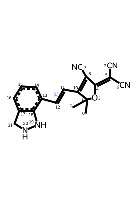 CC1(C)OC(=C(C#N)C#N)C(C#N)=C1/C=C/c1cccc2c1NNC2